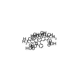 CC1(C)C=C(CS(=O)(=O)O)c2cc3c(c(S(=O)(=O)O)c2=N1)Oc1c(cc2c(c1S(=O)(=O)O)NC(C)(C)C=C2CS(=O)(=O)O)C=3c1ccccc1C(=O)O